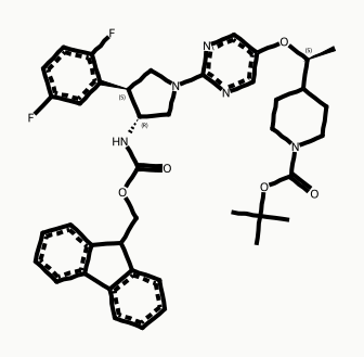 C[C@H](Oc1cnc(N2C[C@H](NC(=O)OCC3c4ccccc4-c4ccccc43)[C@@H](c3cc(F)ccc3F)C2)nc1)C1CCN(C(=O)OC(C)(C)C)CC1